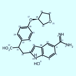 Cl.N=C(N)c1ccc2[nH]c(CC(C(=O)O)c3ccc(O[C@H]4CCOC4)cc3)cc2c1